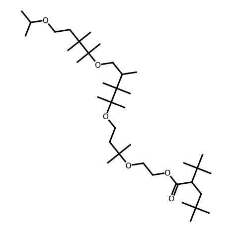 CC(C)OCCC(C)(C)C(C)(C)OCC(C)C(C)(C)C(C)(C)OCCC(C)(C)OCCOC(=O)C(CC(C)(C)C)C(C)(C)C